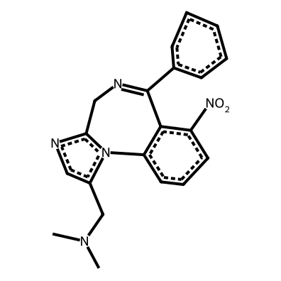 CN(C)Cc1cnc2n1-c1cccc([N+](=O)[O-])c1C(c1ccccc1)=NC2